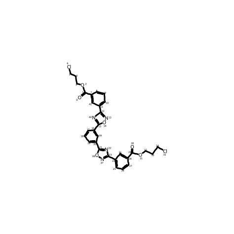 O=C(OCCCCl)c1cccc(-c2noc(-c3cccc(-c4nc(-c5cccc(C(=O)OCCCCl)c5)no4)c3)n2)c1